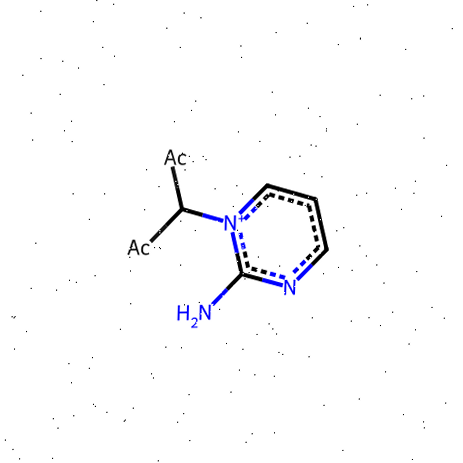 CC(=O)C(C(C)=O)[n+]1cccnc1N